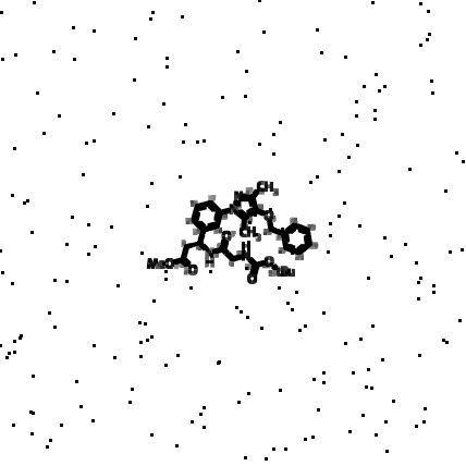 COC(=O)C[C@H](NC(=O)CNC(=O)OC(C)(C)C)c1cccc(-n2nc(C)c(OCc3ccccc3)c2C)c1